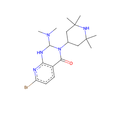 CN(C)C1Nc2nc(Br)ccc2C(=O)N1C1CC(C)(C)NC(C)(C)C1